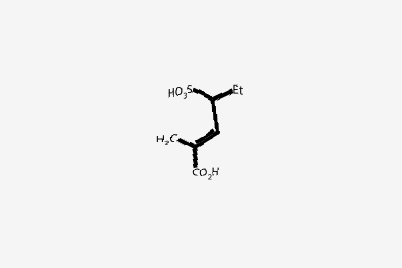 CCC(C=C(C)C(=O)O)S(=O)(=O)O